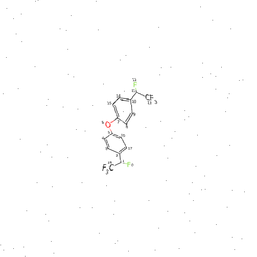 FC(c1ccc(Oc2ccc(C(F)C(F)(F)F)cc2)cc1)C(F)(F)F